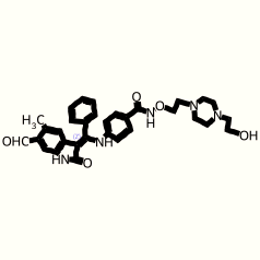 Cc1cc2c(cc1C=O)NC(=O)/C2=C(\Nc1ccc(C(=O)NOCCN2CCN(CCO)CC2)cc1)c1ccccc1